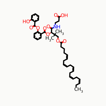 CC/C=C\C/C=C\C/C=C\C/C=C\C/C=C\CCCC(=O)OCC(C)(C)[C@@H](OC(=O)c1ccccc1OC(=O)c1ccccc1O)C(=O)NCCC(=O)O